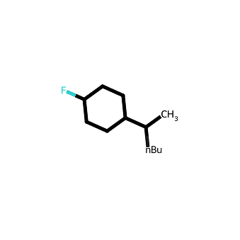 CCCCC(C)C1CCC(F)CC1